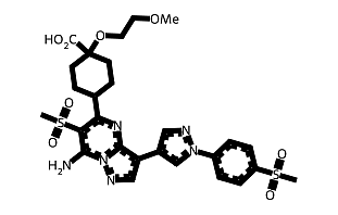 COCCOC1(C(=O)O)CCC(c2nc3c(-c4cnn(-c5ccc(S(C)(=O)=O)cc5)c4)cnn3c(N)c2S(C)(=O)=O)CC1